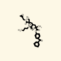 CCCCOC(=O)C(CC(C)(C)C(=O)Oc1ccc(C(=O)c2ccccc2)cc1)CC(C)(CC)C(=O)OCC1CO1